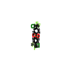 O=S(=O)(c1ccc(C(F)(F)Cl)cc1)c1ccc(C(F)(F)Cl)cc1